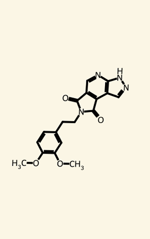 COc1ccc(CCN2C(=O)c3cnc4[nH]ncc4c3C2=O)cc1OC